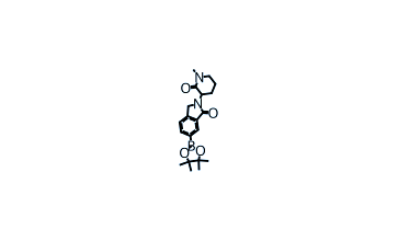 CN1CCCC(N2Cc3ccc(B4OC(C)(C)C(C)(C)O4)cc3C2=O)C1=O